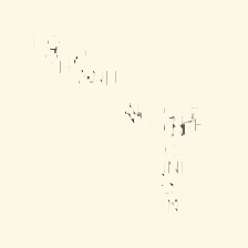 O=C(O)CCC(=O)NCC(=O)NCCCCCCn1ncc2cc(-c3cc(-c4ccc(NC(=O)N5Cc6ccncc6C5)cc4)nn(CC(F)(F)F)c3=O)ccc21